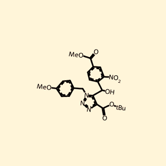 COC(=O)c1ccc(C(O)c2c(C(=O)OC(C)(C)C)nnn2Cc2ccc(OC)cc2)c([N+](=O)[O-])c1